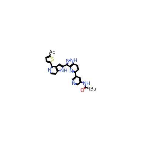 CC(=O)c1ccc(-c2nccc3[nH]c(-c4n[nH]c5ccc(-c6cncc(NC(=O)C(C)(C)C)c6)nc45)cc23)s1